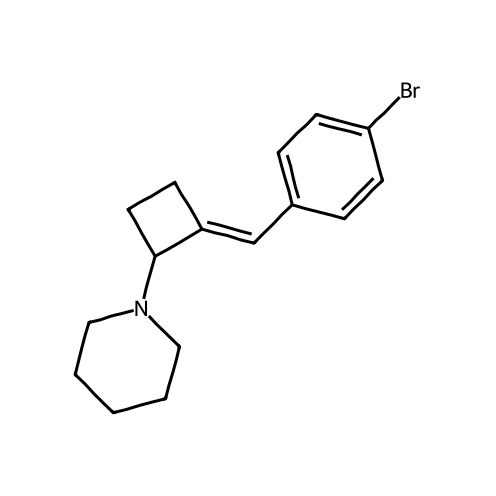 Brc1ccc(C=C2CCC2N2CCCCC2)cc1